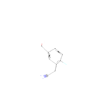 N#CCc1cc(CO)ccc1F